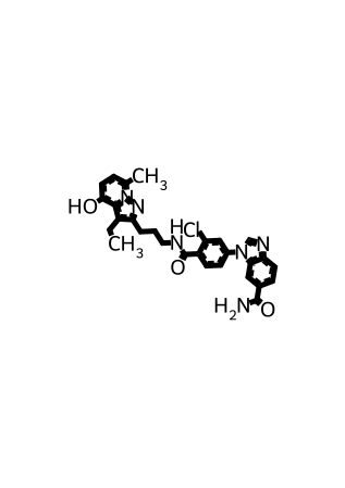 CCc1c(CCCNC(=O)c2ccc(-n3cnc4ccc(C(N)=O)cc43)cc2Cl)nn2c(C)ccc(O)c12